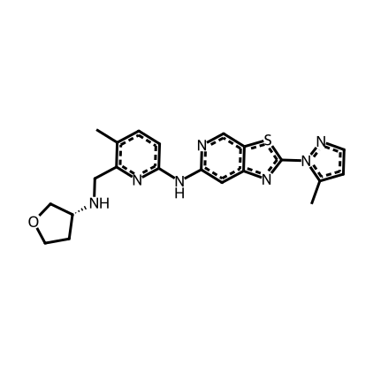 Cc1ccc(Nc2cc3nc(-n4nccc4C)sc3cn2)nc1CN[C@@H]1CCOC1